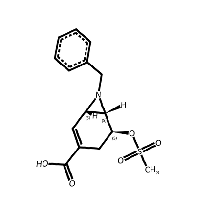 CS(=O)(=O)O[C@H]1CC(C(=O)O)=C[C@H]2[C@@H]1N2Cc1ccccc1